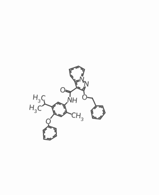 Cc1cc(Oc2ccccc2)c(C(C)C)cc1NC(=O)c1c(OCc2ccccc2)nn2ccccc12